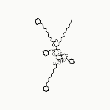 CCCCCCCCCCCCC(OC(=O)CCCCCCCCc1ccccc1)C(=O)N(Cc1ccccc1)O[C@@H]1C[C@H](OC(=O)CCCCCCCCc2ccccc2)[C@@H]2OC(c3ccccc3)OC[C@H]2O1